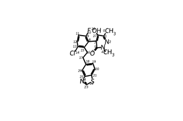 Cc1nn(C)c(=O)c(-c2c(F)ccc(Cl)c2CCc2ccc3scnc3c2)c1O